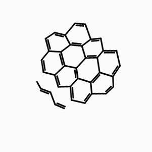 C=CC=CC.c1cc2ccc3cc4ccc5ccc6ccc7cc8ccc1c1c2c3c2c4c5c6c7c2c81